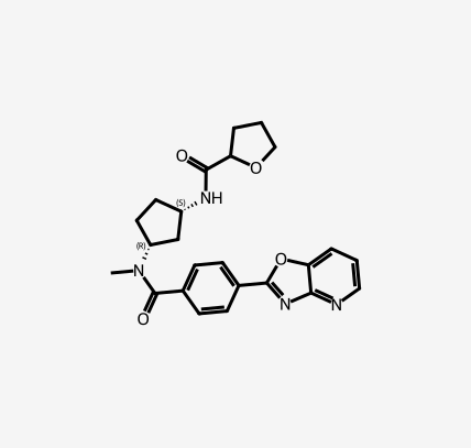 CN(C(=O)c1ccc(-c2nc3ncccc3o2)cc1)[C@@H]1CC[C@H](NC(=O)C2CCCO2)C1